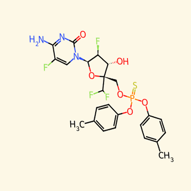 Cc1ccc(OP(=S)(OC[C@@]2(C(F)F)O[C@@H](n3cc(F)c(N)nc3=O)[C@@H](F)[C@@H]2O)Oc2ccc(C)cc2)cc1